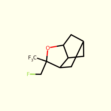 FCC1(C(F)(F)F)OC2CC3CC2C1C3